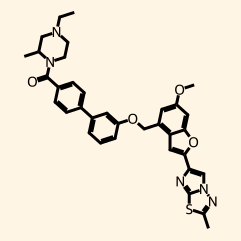 CCN1CCN(C(=O)c2ccc(-c3cccc(OCc4cc(OC)cc5oc(-c6cn7nc(C)sc7n6)cc45)c3)cc2)C(C)C1